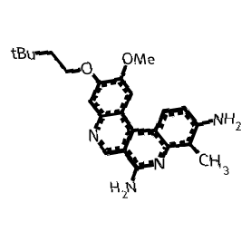 COc1cc2c(cc1OCCC(C)(C)C)ncc1c(N)nc3c(C)c(N)ccc3c12